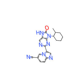 CC1CCCCC1n1c(=O)[nH]c2cnc(-c3cnc4ccc(C#N)cn34)nc21